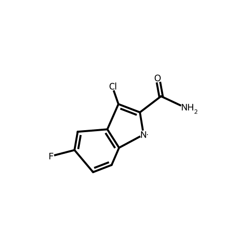 NC(=O)C1=C(Cl)c2cc(F)ccc2[N]1